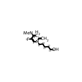 C=CN(/C=C(/F)C(=C)NC)CCCCCO